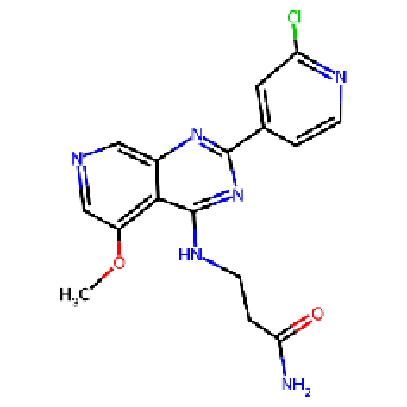 COc1cncc2nc(-c3ccnc(Cl)c3)nc(NCCC(N)=O)c12